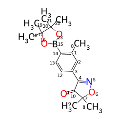 Cc1cc(C2=NOC(C)(C)C2=O)ccc1B1OC(C)(C)C(C)(C)O1